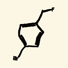 F[CH]c1ccc(Br)cc1